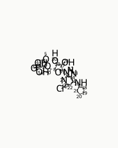 CCC(COC)(OC[C@H]1O[C@@H](n2nnc3c(NC4CCCC4)cc(Cl)nc32)[C@H](O)[C@@H]1O)P(=O)(O)O